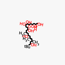 C/C(=C\C(C)CC(O)CC(C)(C)C)CC(O)CC(C)CC(O)C1CC(O)C(O)C(CC(O)CC(O)CO)O1